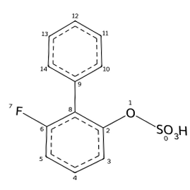 O=S(=O)(O)Oc1cccc(F)c1-c1ccccc1